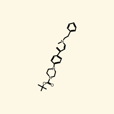 C=C(/C=C\N(C)CCc1ccccc1)c1ccc(N2CCN(C(=O)OC(C)(C)C)CC2)cc1